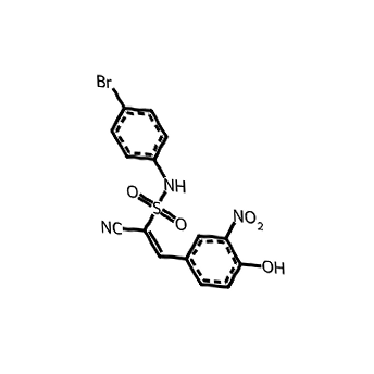 N#CC(=Cc1ccc(O)c([N+](=O)[O-])c1)S(=O)(=O)Nc1ccc(Br)cc1